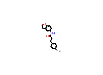 CC(C)(C)c1ccc(CCC(=O)Nc2ccc3c(c2)CCO3)cc1